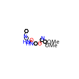 COc1cc2nccc(Oc3ccc(NC(=O)NC4CCN(Cc5ccccc5)CC4)cc3)c2cc1OC